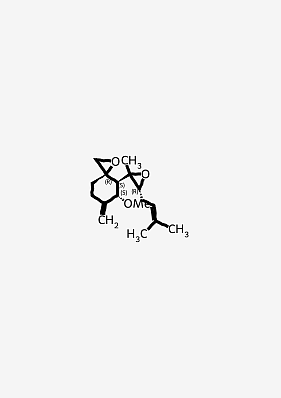 C=C1CC[C@]2(CO2)[C@@H](C2(C)O[C@@H]2CC=C(C)C)[C@@H]1OC